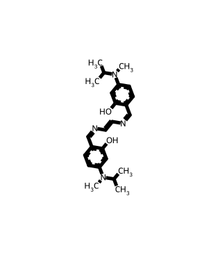 CC(C)N(C)c1ccc(\C=N/C=C/N=C\c2ccc(N(C)C(C)C)cc2O)c(O)c1